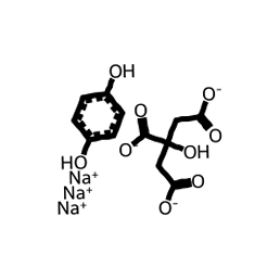 O=C([O-])CC(O)(CC(=O)[O-])C(=O)[O-].Oc1ccc(O)cc1.[Na+].[Na+].[Na+]